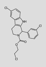 O=C(OCCCl)N1CCc2c([nH]c3ccc(Cl)cc23)C1c1cccc(Cl)c1